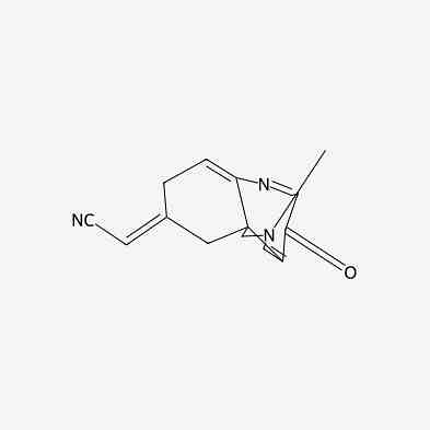 CN1C=C2C(=O)CC=NC3=CCC(=CC#N)CC32C1